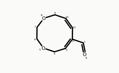 O=CC1=C/COCCOC/C=C\1